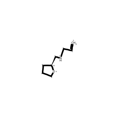 C=CCNC[C@@H]1CCCO1